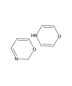 C1=COC=CN1.C1=COCN=C1